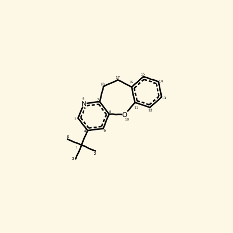 CC(C)(C)c1cnc2c(c1)Oc1ccccc1CC2